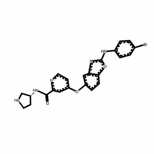 O=C(N[C@@H]1CCNC1)c1cc(Oc2ccc3oc(Nc4ccc(Br)cc4)nc3c2)ccn1